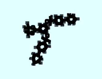 CC(C)(Oc1cc(OC(C)(C)c2ccc(-c3ccccn3)cc2)cc(B2OC(C)(C)C(C)(C)O2)c1)c1ccc(-c2ccccn2)cc1